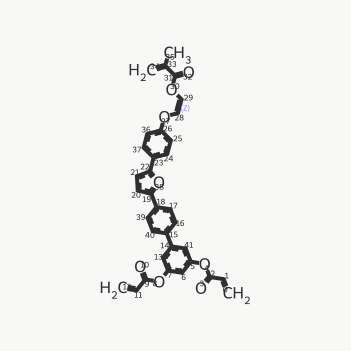 C=CC(=O)Oc1cc(OC(=O)C=C)cc(-c2ccc(-c3ccc(-c4ccc(O/C=C\OC(=O)C(=C)C)cc4)o3)cc2)c1